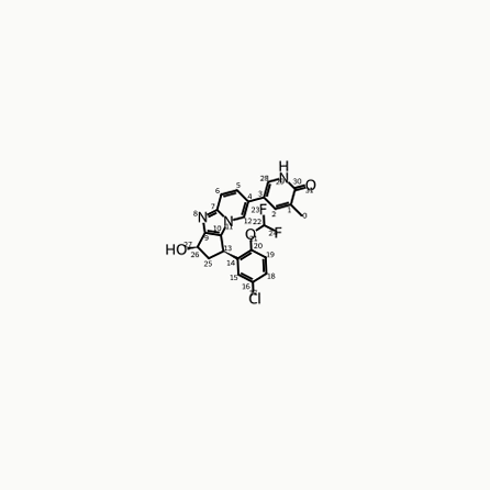 Cc1cc(-c2ccc3nc4c(n3c2)[C@@H](c2cc(Cl)ccc2OC(F)F)C[C@H]4O)c[nH]c1=O